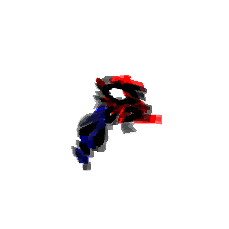 CO[C@]1(C)C[C@H](O[C@H]2[C@H](C)[C@@H](O[C@@H]3O[C@H](C)C[C@@H](N4CCN(CCN(C)C)CC4)[C@@H]3N(C)C)[C@@](C)(OC)C[C@@H](C)C(=O)[C@H](C)[C@@H](O)[C@@]3(O)C(C)[C@H]3OC(=O)[C@@H]2C)O[C@@H](C)[C@@H]1O